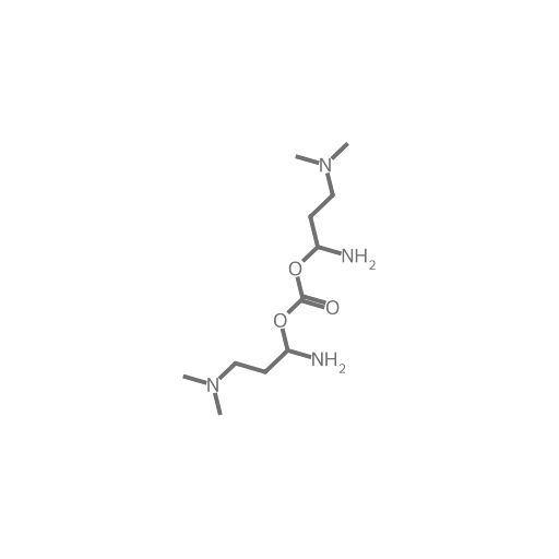 CN(C)CCC(N)OC(=O)OC(N)CCN(C)C